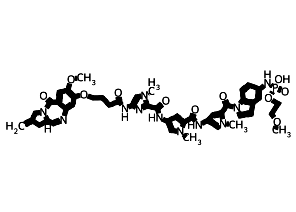 C=C1C[C@H]2C=Nc3cc(OCCCC(=O)Nc4cn(C)c(C(=O)Nc5cc(C(=O)Nc6cc(C(=O)n7ccc8cc(NP(=O)(O)OCCOC)ccc87)n(C)c6)n(C)c5)n4)c(OC)cc3C(=O)N2C1